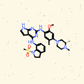 COc1cc(N2CCN(C)[C@@H](C)C2)c(C)cc1Nc1nc(Nc2cccc3c2N(S(C)(=O)=O)CC3)c2cc[nH]c2n1